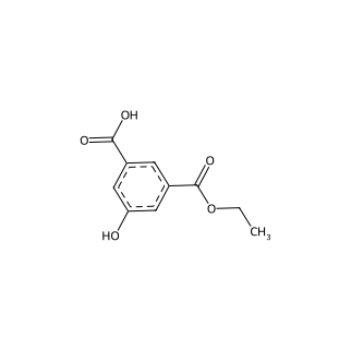 CCOC(=O)c1cc(O)cc(C(=O)O)c1